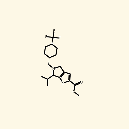 COC(=O)c1cc2c(s1)C(C(C)C)N(C[C@H]1CC[C@H](C(F)(F)F)CC1)C2